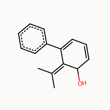 CC(C)=C1C(c2ccccc2)=CC=CC1O